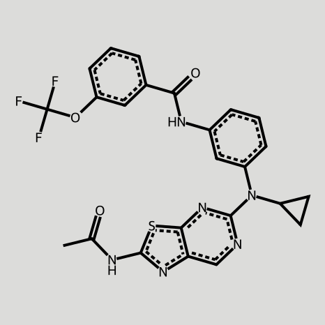 CC(=O)Nc1nc2cnc(N(c3cccc(NC(=O)c4cccc(OC(F)(F)F)c4)c3)C3CC3)nc2s1